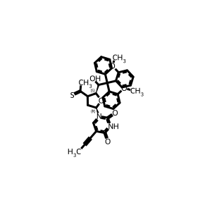 CC#Cc1cn([C@H]2CC(C(C)=S)[C@@H](C(O)C(c3ccccc3)(c3ccccc3OC)c3ccccc3OC)O2)c(=O)[nH]c1=O